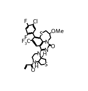 C=CC(=O)N1CCN(c2nc(=O)n3c4c(c(-c5cc(Cl)c(F)cc5F)c(C(F)(F)F)cc24)SC[C@@H](OC)C3)[C@@H]2CSC[C@@H]21